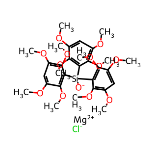 COc1cc(OC)c(OC)c([Si]([O-])(c2c(OC)c(OC)cc(OC)c2OC)c2c(OC)c(OC)cc(OC)c2OC)c1OC.[Cl-].[Mg+2]